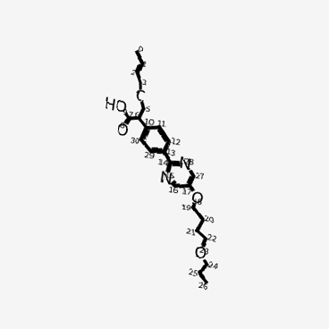 CC=CCCCC(C(=O)O)c1ccc(-c2ncc(OCCCCOCCC)cn2)cc1